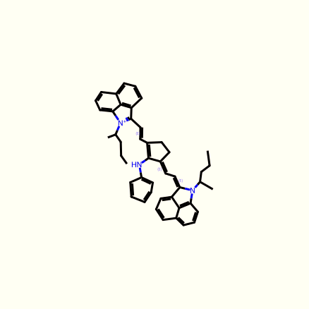 CCCC(C)n1/c(=C/C=C2\CCC(/C=C/C3=[N+](C(C)CCC)c4cccc5cccc3c45)=C2Nc2ccccc2)c2cccc3cccc1c32